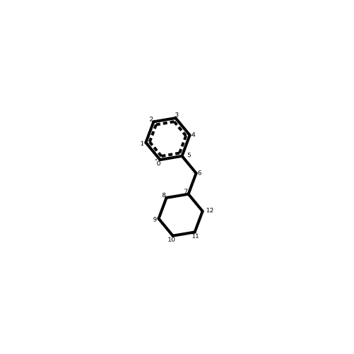 [c]1ccccc1CC1CCCCC1